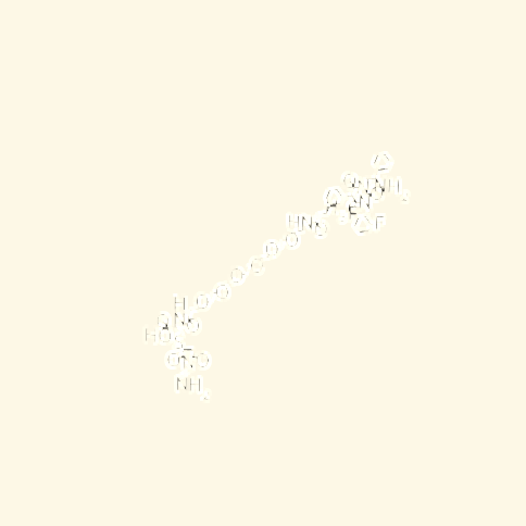 Cc1c(-c2cccc(CCC(=O)NCCOCCOCCOCCOCCOCCOCCC(=O)NC(CSC3=CC(=O)N(CCN)C3=O)C(=O)O)c2)c(=O)n(C[C@H](N)c2ccccc2)c(=O)n1Cc1c(F)cccc1F